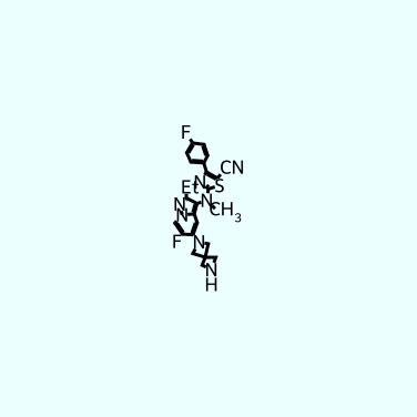 CCc1nn2cc(F)c(N3CC4(CNC4)C3)cc2c1N(C)c1nc(-c2ccc(F)cc2)c(C#N)s1